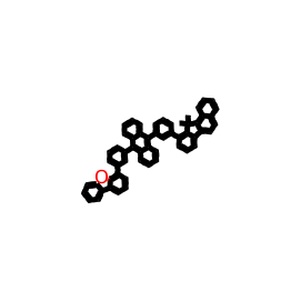 CC1(C)c2c(-c3cccc(-c4c5ccccc5c(-c5cccc(-c6cccc7c6oc6ccccc67)c5)c5ccccc45)c3)cccc2-c2ccc3ccccc3c21